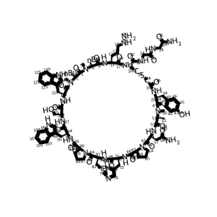 CCCC[C@H]1C(=O)N(C)[C@@H](CCCC)C(=O)N[C@@H](CCCNN)C(=O)N[C@H](C(=O)NCC(=O)NCC(N)=O)CSCC(=O)N[C@@H](Cc2ccc(O)cc2)C(=O)N(C)[C@@H](C)C(=O)N[C@@H](CC(N)=O)C(=O)N2CCC[C@H]2C(=O)N[C@@H](Cc2cnc[nH]2)C(=O)N[C@@H](CC(C)C)C(=O)N2CCC[C@H]2C(=O)N[C@@H](Cc2c[nH]c3ccccc23)C(=O)N[C@@H](CO)C(=O)N[C@@H](Cc2c[nH]c3ccccc23)C(=O)N1C